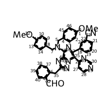 COc1ccc(CN(Cc2ccc(OC)cc2)c2nc(-c3cccc(C#N)c3)c(-c3ccncn3)n3nc(Cc4ccccc4C=O)nc23)cc1